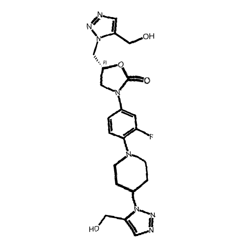 O=C1O[C@@H](Cn2nncc2CO)CN1c1ccc(N2CCC(n3nncc3CO)CC2)c(F)c1